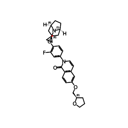 O=c1c2ccc(OC[C@H]3CCCO3)cc2ccn1-c1ccc(O[C@H]2C[C@H]3CC[C@@H](C2)N3C2CC2)c(F)c1